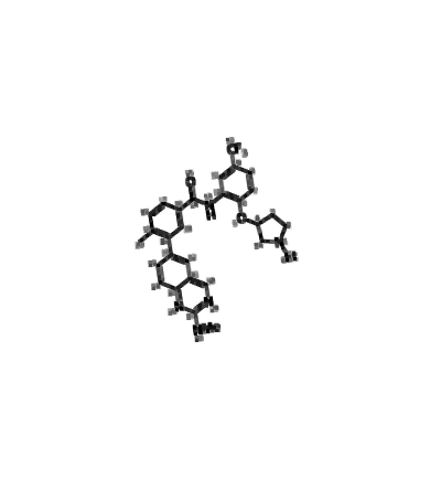 CCN1CCC(Oc2ccc(C(F)(F)F)cc2NC(=O)c2ccc(C)c(-c3ccc4nc(NC)ncc4c3)c2)C1